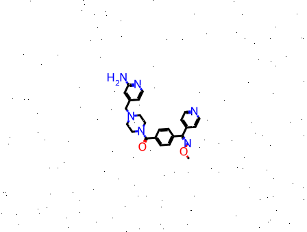 CON=C(c1ccncc1)c1ccc(C(=O)N2CCN(Cc3ccnc(N)c3)CC2)cc1